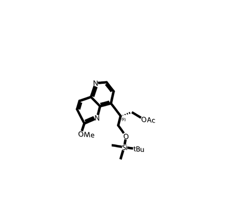 COc1ccc2nccc([C@H](COC(C)=O)CO[Si](C)(C)C(C)(C)C)c2n1